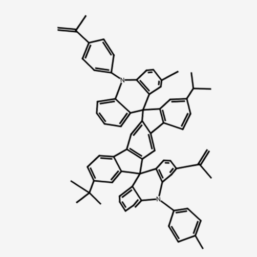 C=C(C)c1ccc(N2c3ccccc3C3(c4cc(C(C)C)ccc4-c4cc5c(cc43)-c3ccc(C(C)(C)C)cc3C53c4ccccc4N(c4ccc(C)cc4)c4cc(C(=C)C)ccc43)c3cc(C)ccc32)cc1